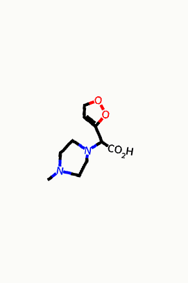 CN1CCN(C(C(=O)O)C2=CCOO2)CC1